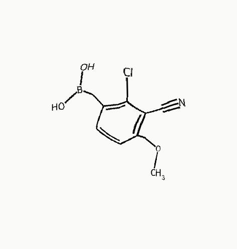 COc1ccc(B(O)O)c(Cl)c1C#N